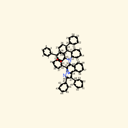 c1c(-c2ccccc2)ccc(N(c2ccccc2C2=C(c3ccccc3)C=CCC2)c2c(-c3ccccc3)n3nc(-c4ccccc4)c(-c4ccccc4)c3c3ccccc23)c#1